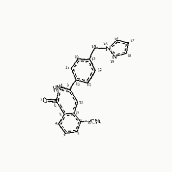 N#Cc1cccc2c(=O)[nH]c(-c3ccc(Cn4cccn4)cc3)cc12